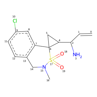 C=CC(N)C1CC12c1cc(Cl)ccc1CN(C)S2(=O)=O